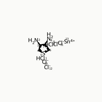 Cl.Cl.Nc1cscc1N.[Cl-].[Cl-].[Cl-].[Cl-].[Sn+4]